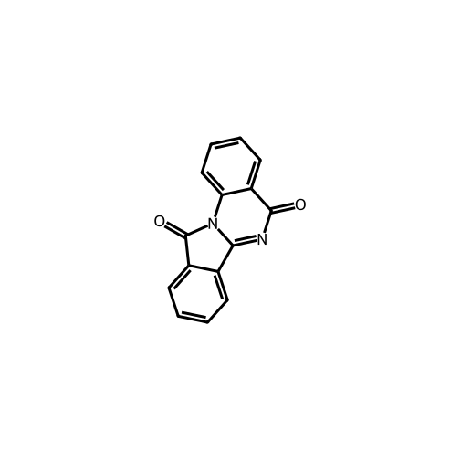 O=C1c2ccccc2-c2nc(=O)c3ccccc3n21